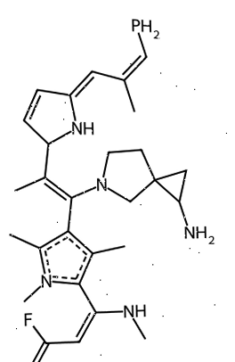 C=C(F)/C=C(/NC)c1c(C)c(/C(=C(\C)C2C=C/C(=C/C(C)=C\P)N2)N2CCC3(CC3N)C2)c(C)n1C